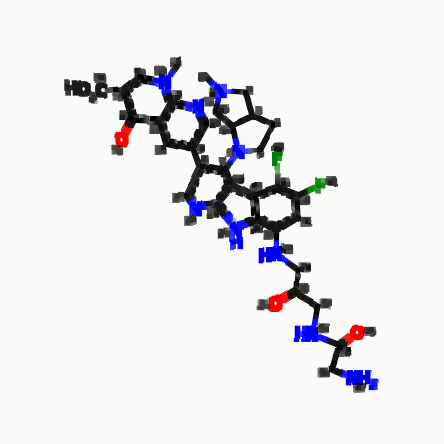 CN1CC2CCN(c3c(-c4cnc5c(c4)c(=O)c(C(=O)O)cn5C)cnc4[nH]c5c(NCC(=O)CNC(=O)CN)cc(F)c(F)c5c34)C2C1